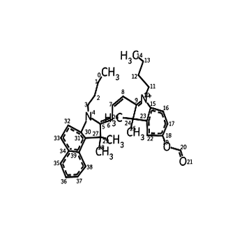 CCCCN1C(=CC=CC2=[N+](CCCC)c3ccc(OC=O)cc3C2(C)C)C(C)(C)c2c1ccc1ccccc21